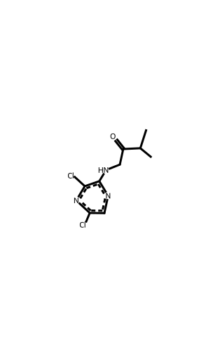 CC(C)C(=O)CNc1ncc(Cl)nc1Cl